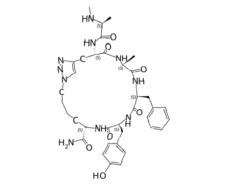 CN[C@@H](C)C(=O)N[C@H]1Cc2cn(nn2)CCCC[C@@H](C(N)=O)NC(=O)[C@H](Cc2ccc(O)cc2)NC(=O)[C@H](Cc2ccccc2)NC(=O)[C@H](C)NC1=O